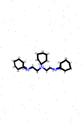 C1CCC(=NCCN(CCN=C2CCCCC2)C2CCCCC2)CC1